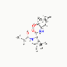 CC(C(=O)N1C[C@H]2C([C@H]1C(=O)NC(CC1CC1)C(=O)C(=O)O)C2(C)C)C(C)(C)C